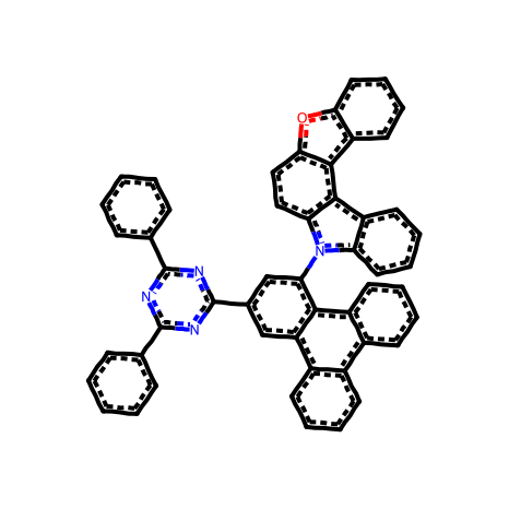 c1ccc(-c2nc(-c3ccccc3)nc(-c3cc(-n4c5ccccc5c5c6c(ccc54)oc4ccccc46)c4c5ccccc5c5ccccc5c4c3)n2)cc1